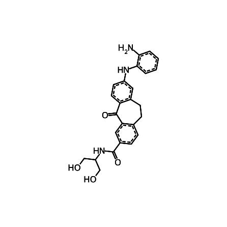 Nc1ccccc1Nc1ccc2c(c1)CCc1ccc(C(=O)NC(CO)CO)cc1C2=O